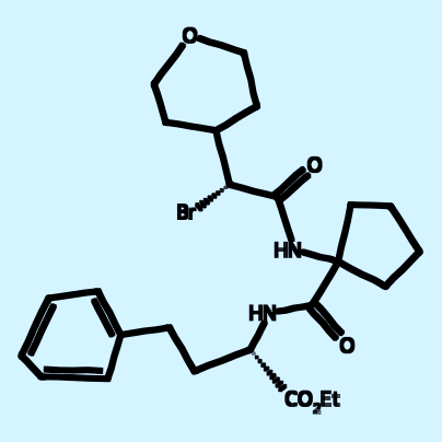 CCOC(=O)[C@H](CCc1ccccc1)NC(=O)C1(NC(=O)[C@H](Br)C2CCOCC2)CCCC1